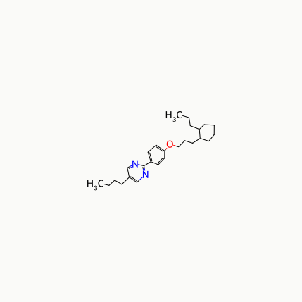 CCCCc1cnc(-c2ccc(OCCCC3CCCCC3CCC)cc2)nc1